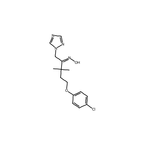 CC(C)(CCOc1ccc(Cl)cc1)/C(Cn1cncn1)=N\O